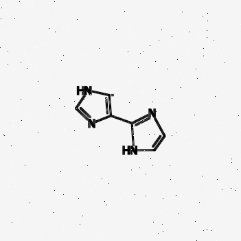 [c]1[nH]cnc1-c1ncc[nH]1